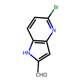 O=Cc1cc2nc(Br)ccc2[nH]1